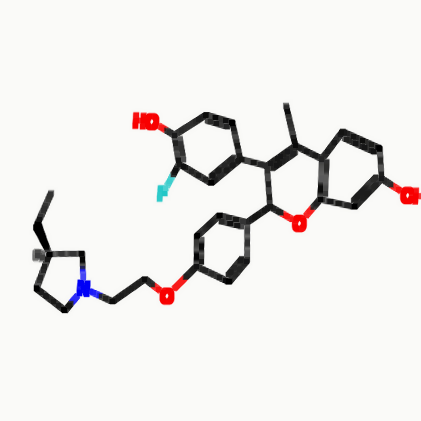 CC[C@@H]1CCN(CCOc2ccc(C3Oc4cc(O)ccc4C(C)=C3c3ccc(O)c(F)c3)cc2)C1